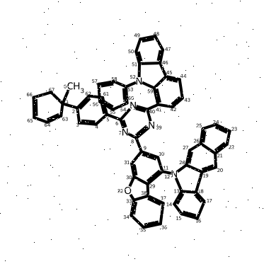 CC1(c2ccc(-c3nc(-c4cc(-n5c6ccccc6c6cc7ccccc7cc65)c5c(c4)oc4ccccc45)nc(-c4cccc5c6ccccc6n(-c6ccccc6)c45)n3)cc2)C=CC=CC1